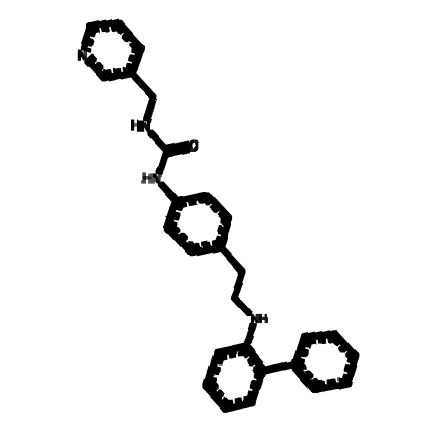 O=C(NCc1cccnc1)Nc1ccc(CCNc2ccccc2-c2ccccc2)cc1